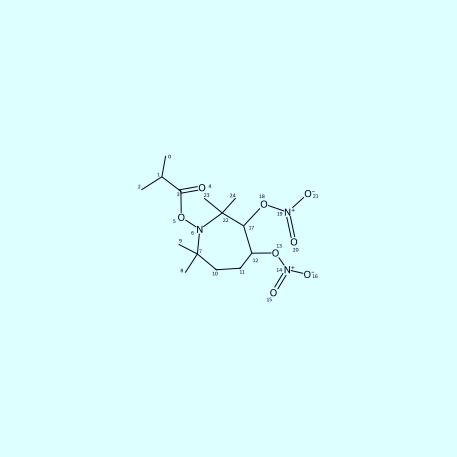 CC(C)C(=O)ON1C(C)(C)CCC(O[N+](=O)[O-])C(O[N+](=O)[O-])C1(C)C